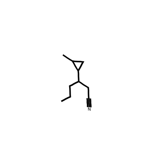 CCCC(CC#N)C1CC1C